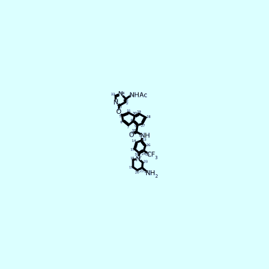 CC(=O)Nc1cc(Oc2ccc3c(C(=O)Nc4ccc(N5CCCC(N)C5)c(C(F)(F)F)c4)cccc3c2)ncn1